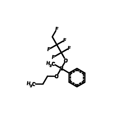 CCCO[Si](C)(OC(F)(F)C(F)(F)CF)c1ccccc1